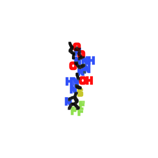 Cc1cc(Cn2c(=O)[nH]c3ncn(CC(O)Nc4csc(-c5cnc(C)c(C(F)(F)F)c5)n4)c3c2=O)no1